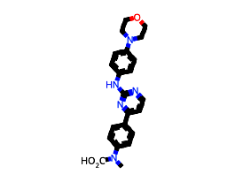 CN(C(=O)O)c1ccc(-c2ccnc(Nc3ccc(N4CCOCC4)cc3)n2)cc1